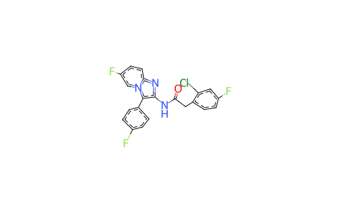 O=C(Cc1ccc(F)cc1Cl)Nc1nc2ccc(F)cn2c1-c1ccc(F)cc1